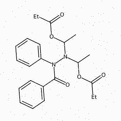 CCC(=O)OC(C)N(C(C)OC(=O)CC)N(C(=O)c1ccccc1)c1ccccc1